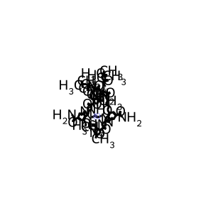 CCc1nc(C)oc1C(=O)Nc1nc2cc(C(N)=O)cc(OC)c2n1C/C=C/Cn1c(NC(=O)c2oc(C)nc2CC)nc2cc(C(N)=O)cc(OCCCNC(=O)[C@@H](CCC(=O)OC(C)(C)C)NC(=O)[C@@H](CN)NC(=O)OC(C)(C)C)c21